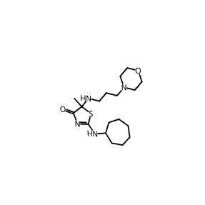 CC1(NCCCN2CCOCC2)SC(NC2CCCCCC2)=NC1=O